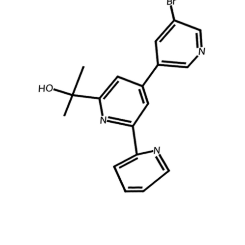 CC(C)(O)c1cc(-c2cncc(Br)c2)cc(-c2ccccn2)n1